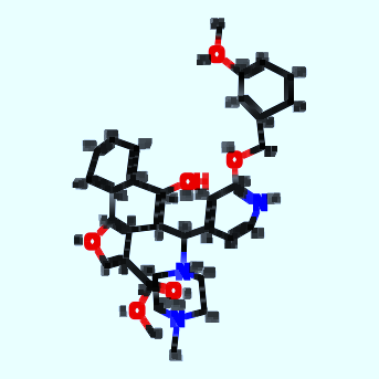 COC(=O)c1coc2c1c(C(c1ccnc(OCc3cccc(OC)c3)c1)N1CCN(C)CC1)c(O)c1ccccc12